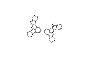 c1ccc2c(c1)sc1c2c2cc(-c3cc4c5ccccc5n5c4c(c3)c3sc4ccccc4c35)cc3c4ccccc4n1c32